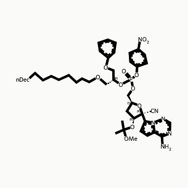 CCCCCCCCCCCCCCCCCCOC[C@H](COc1ccccc1)OP(=O)(OC[C@@H]1C[C@@H](OC(C)(C)OC)[C@](C#N)(c2ccc3c(N)ncnn23)O1)Oc1ccc([N+](=O)[O-])cc1